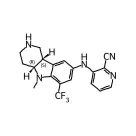 CN1c2c(cc(Nc3cccnc3C#N)cc2C(F)(F)F)[C@H]2CNCC[C@H]21